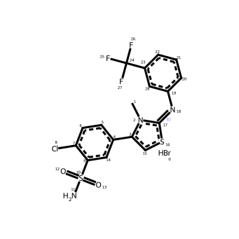 Br.Cn1c(-c2ccc(Cl)c(S(N)(=O)=O)c2)cs/c1=N/c1cccc(C(F)(F)F)c1